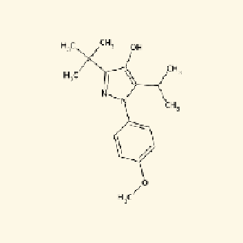 COc1ccc(-n2nc(C(C)(C)C)c(O)c2C(C)C)cc1